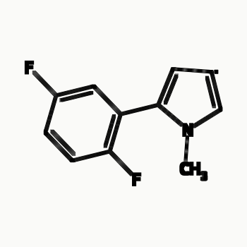 Cn1c[c]cc1-c1cc(F)ccc1F